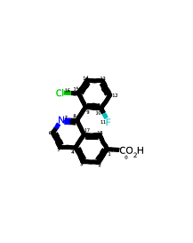 O=C(O)c1ccc2ccnc(-c3c(F)cccc3Cl)c2c1